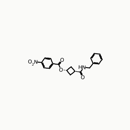 O=C(O[C@H]1C[C@H](C(=O)NCc2ccccc2)C1)c1ccc([N+](=O)[O-])cc1